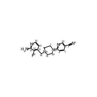 N#Cc1ccc(N2CCN(Cc3ccnc(N)c3F)CC2)nc1